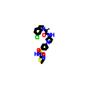 C[C@H](C(=O)N[C@H]1CCN(c2ccc(S(=O)(=O)Nc3nccs3)cc2)C1)n1ccc2ccc(Cl)cc21